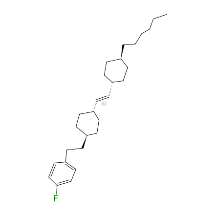 CCCCCC[C@H]1CC[C@H](/C=C/[C@H]2CC[C@H](CCc3ccc(F)cc3)CC2)CC1